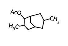 CC(=O)OC1C(C)CC2CC(C)CC1C2